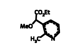 CCOC(=O)C(OC)c1cccnc1C